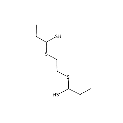 CCC(S)SCCSC(S)CC